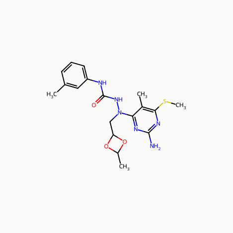 CSc1nc(N)nc(N(CC2OC(C)O2)NC(=O)Nc2cccc(C)c2)c1C